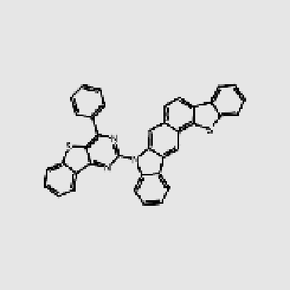 c1ccc(-c2nc(-n3c4ccccc4c4cc5c(ccc6c7ccccc7sc56)cc43)nc3c2sc2ccccc23)cc1